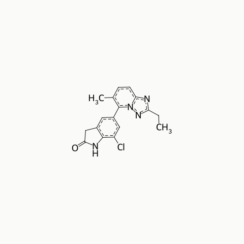 CCc1nc2ccc(C)c(-c3cc(Cl)c4c(c3)CC(=O)N4)n2n1